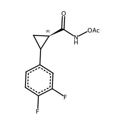 CC(=O)ONC(=O)[C@@H]1CC1c1ccc(F)c(F)c1